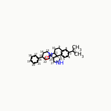 CC(C)c1ccc2c(c1)CCC(N1CCC(c3ccccc3)CC1)[C@@]21CNC[C@H]1C=O